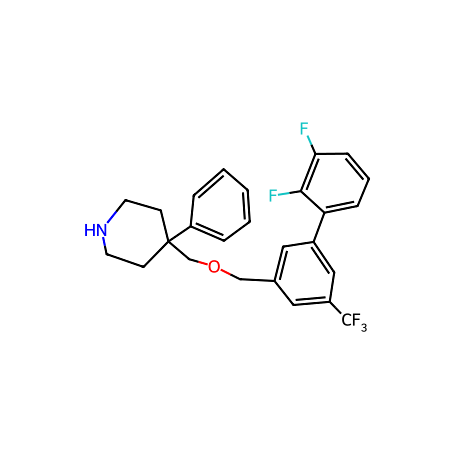 Fc1cccc(-c2cc(COCC3(c4ccccc4)CCNCC3)cc(C(F)(F)F)c2)c1F